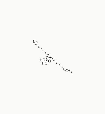 CCCCCCCCCCCCCCCCC[CH2][Na].O=P(O)(O)O